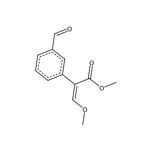 COC=C(C(=O)OC)c1cccc(C=O)c1